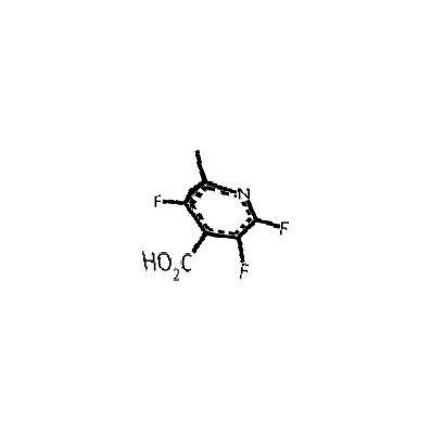 Cc1nc(F)c(F)c(C(=O)O)c1F